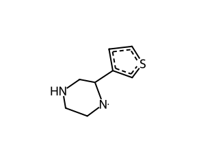 c1cc(C2CNCC[N]2)cs1